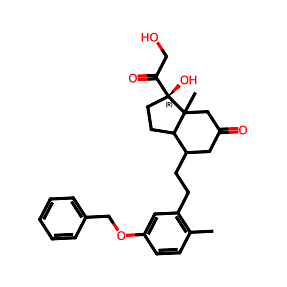 Cc1ccc(OCc2ccccc2)cc1CCC1CC(=O)CC2(C)C1CC[C@]2(O)C(=O)CO